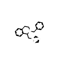 c1ccc(CN2CCc3ccccc3C2Cn2cncn2)cc1